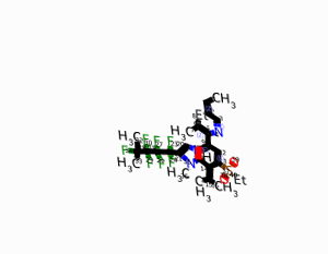 C\C=C/C=N\C(=C(\C)CC)C(=C\C)\C=C(/C(=C(C)C)c1ncc(C(F)(F)C(F)(F)C(F)(F)C(C)(C)F)n1C)S(=O)(=O)CC